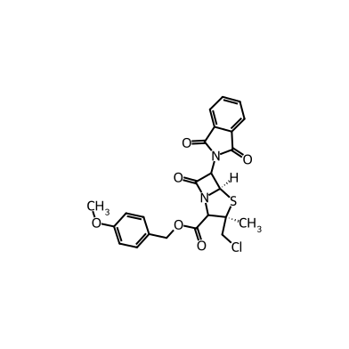 COc1ccc(COC(=O)C2N3C(=O)C(N4C(=O)c5ccccc5C4=O)[C@H]3S[C@@]2(C)CCl)cc1